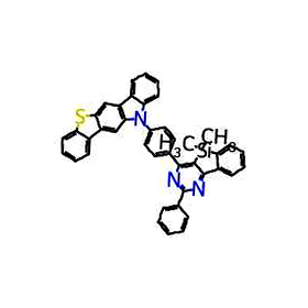 C[Si]1(C)c2ccccc2-c2nc(-c3ccccc3)nc(-c3ccc(-n4c5ccccc5c5cc6sc7ccccc7c6cc54)cc3)c21